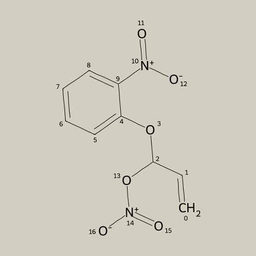 C=CC(Oc1ccccc1[N+](=O)[O-])O[N+](=O)[O-]